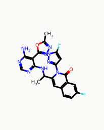 Cc1nnc(-c2c(N)ncnc2NC(C)c2cc3ccc(F)cc3c(=O)n2-c2cc(F)[nH]n2)o1